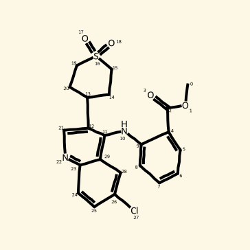 COC(=O)c1ccccc1Nc1c(C2CCS(=O)(=O)CC2)cnc2ccc(Cl)cc12